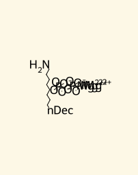 CCCCCCCCCCCCCCCCCCN.O=P([O-])([O-])[O-].O=P([O-])([O-])[O-].[Mg+2].[Mg+2].[Mg+2]